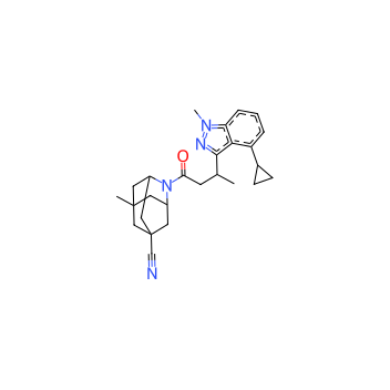 CC(CC(=O)N1C2CC3(C)CC1CC(C#N)(C2)C3)c1nn(C)c2cccc(C3CC3)c12